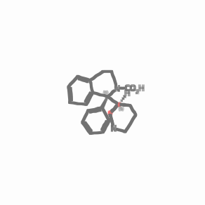 O=C(O)N1CCc2ccccc2[C@@]1(c1ccccc1)[C@@H]1CN2CCC1CC2